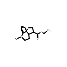 CCOC(=O)C1CSC23CC=CC=C2N(Cl)CCC13